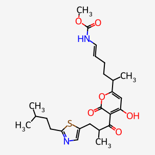 COC(=O)N/C=C/CCC(C)c1cc(O)c(C(=O)C(C)Cc2cnc(CCC(C)C)s2)c(=O)o1